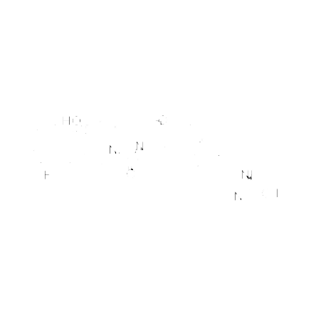 Cc1nc2ccc(-c3ccc4c(c3)CN(C(=O)N3CCC(O)(c5cccc(F)c5)CC3)CCO4)cc2[nH]1